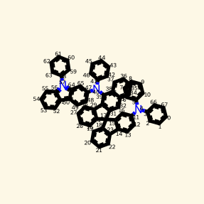 c1ccc(N(c2ccccc2)c2ccc3c(c2)C2(c4ccccc4-3)c3ccccc3-c3c2cc2ccccc2c3N(c2ccccc2)c2ccc3c4ccccc4n(-c4ccccc4)c3c2)cc1